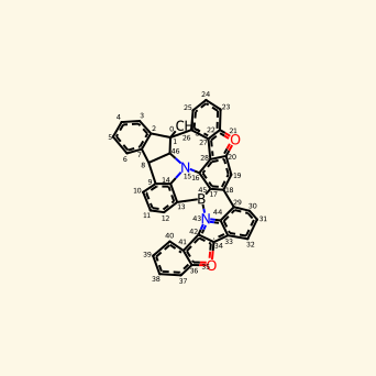 CC12c3ccccc3C3c4cccc5c4N(c4c6c(cc7oc8cccc1c8c47)-c1cccc4c7oc8ccccc8c7n(c14)B56)C32